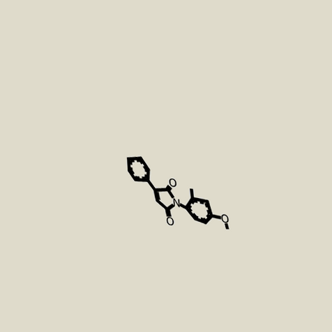 COc1ccc(N2C(=O)C=C(c3ccccc3)C2=O)c(C)c1